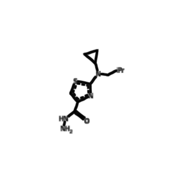 CC(C)CN(c1nc(C(=O)NN)cs1)C1CC1